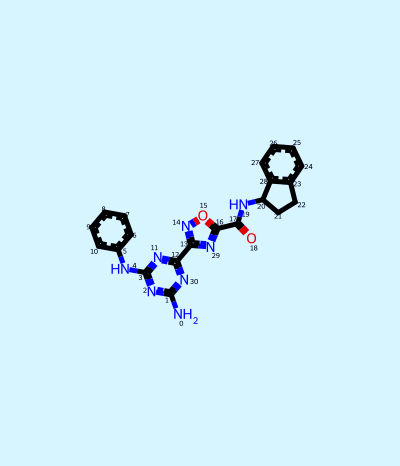 Nc1nc(Nc2ccccc2)nc(-c2noc(C(=O)NC3CCc4ccccc43)n2)n1